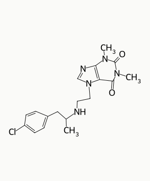 CC(Cc1ccc(Cl)cc1)NCCn1cnc2c1c(=O)n(C)c(=O)n2C